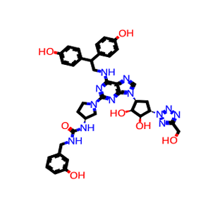 O=C(NCc1cccc(O)c1)N[C@@H]1CCN(c2nc(NCC(c3ccc(O)cc3)c3ccc(O)cc3)c3ncn([C@@H]4C[C@H](n5nnc(CO)n5)[C@@H](O)[C@H]4O)c3n2)C1